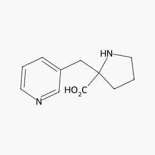 O=C(O)C1(Cc2cccnc2)CCCN1